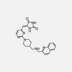 O=C1NC(=O)C(=Cc2ccnc(N3CCC(CNCc4ccc5ccccc5n4)CC3)n2)N1